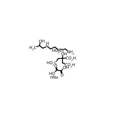 CC(O)CNCCN.NCC(=O)O.O=C(O)C(=O)O.O=C(O)CC(O)(CC(=O)O)C(=O)O.[NaH]